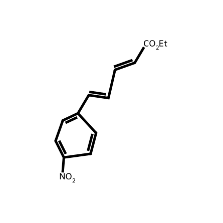 CCOC(=O)C=CC=Cc1ccc([N+](=O)[O-])cc1